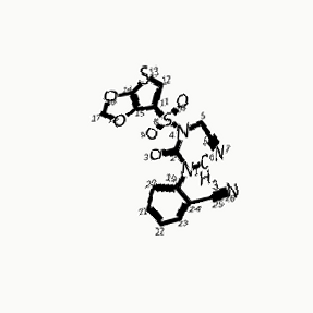 CN(C(=O)N(CC#N)S(=O)(=O)c1csc2c1OCO2)c1ccccc1C#N